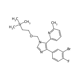 Cc1cccc(-c2c(-c3ccc(F)c(Br)c3)ncn2COCC[Si](C)(C)C)n1